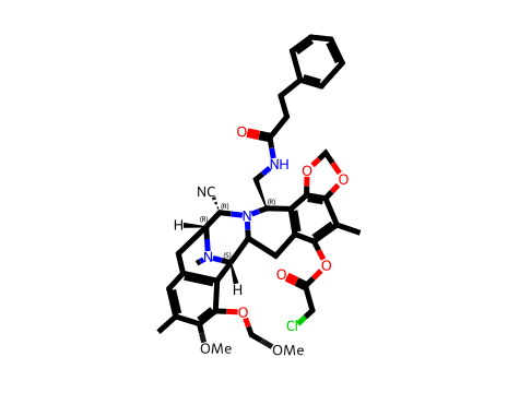 COCOc1c(OC)c(C)cc2c1[C@H]1C3Cc4c(OC(=O)CCl)c(C)c5c(c4[C@H](CNC(=O)CCc4ccccc4)N3[C@@H](C#N)[C@@H](C2)N1C)OCO5